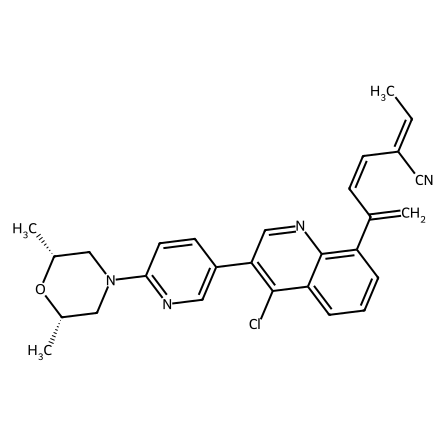 C=C(/C=C\C(C#N)=C/C)c1cccc2c(Cl)c(-c3ccc(N4C[C@@H](C)O[C@@H](C)C4)nc3)cnc12